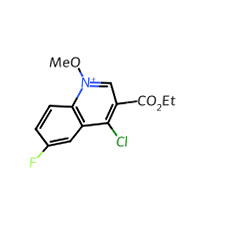 CCOC(=O)c1c[n+](OC)c2ccc(F)cc2c1Cl